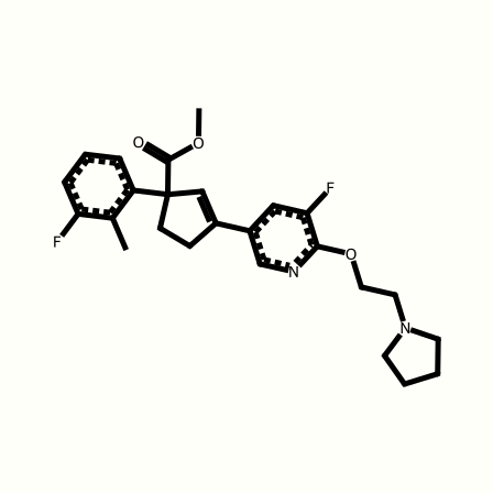 COC(=O)C1(c2cccc(F)c2C)C=C(c2cnc(OCCN3CCCC3)c(F)c2)CC1